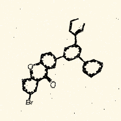 C/C=C\C(=C/C)c1cc(-c2ccccc2)cc(-c2ccc3oc4ccc(Br)cc4c(=O)c3c2)c1